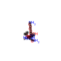 CC(C)[C@H](NC(=O)OCC1c2ccccc2-c2ccccc21)C(=O)N[C@@H](CCCNC(N)=O)C(=O)N[C@@H](Cc1ccc(O)cc1)C(=O)NCCOCCOCCOCCOCCOCCN